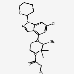 CC(C)(C)OC(=O)N1CCN(c2cc(Cl)cc3c2cnn3C2CCCCO2)C(C(C)(C)C)C1(C)C